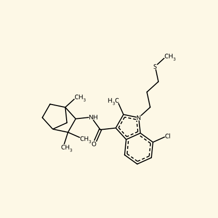 CSCCCn1c(C)c(C(=O)NC2C3(C)CCC(C3)C2(C)C)c2cccc(Cl)c21